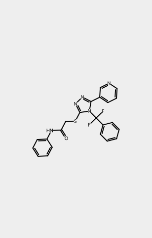 O=C(CSc1nnc(-c2cccnc2)n1C(F)(F)c1ccccc1)Nc1ccccc1